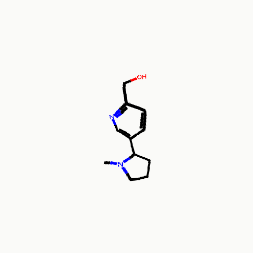 CN1CCCC1c1ccc(CO)nc1